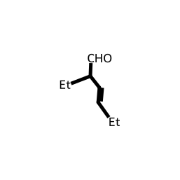 CC/C=C/C(C=O)CC